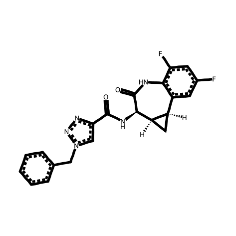 O=C(N[C@H]1C(=O)Nc2c(F)cc(F)cc2[C@H]2C[C@H]21)c1cn(Cc2ccccc2)nn1